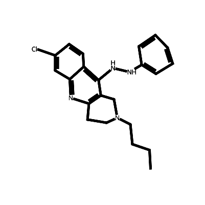 CCCCN1CCc2nc3cc(Cl)ccc3c(NNc3ccccc3)c2C1